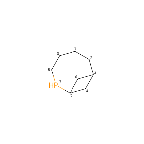 C1CCC2C[C](C2)PC1